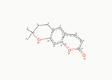 CC1(C)CCc2cc3ccc(=O)oc3cc2O1